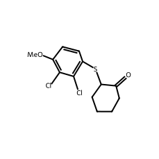 COc1ccc(SC2CCCCC2=O)c(Cl)c1Cl